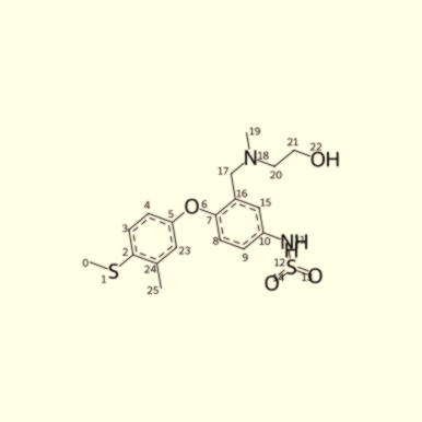 CSc1ccc(Oc2ccc(N[SH](=O)=O)cc2CN(C)CCO)cc1C